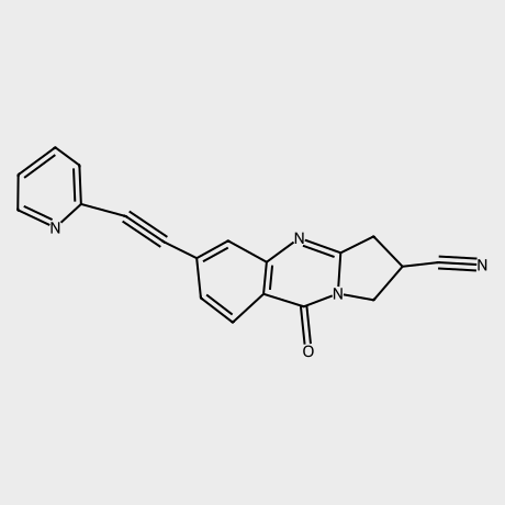 N#CC1Cc2nc3cc(C#Cc4ccccn4)ccc3c(=O)n2C1